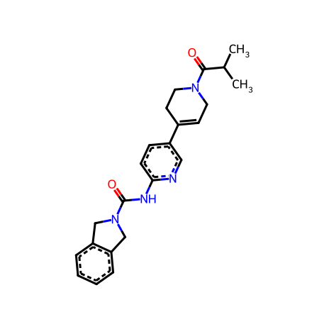 CC(C)C(=O)N1CC=C(c2ccc(NC(=O)N3Cc4ccccc4C3)nc2)CC1